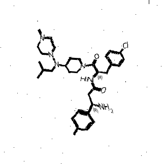 Cc1ccc([C@H](N)CC(=O)N[C@H](Cc2ccc(Cl)cc2)C(=O)N2CCC(N(CC(C)C)N3CCN(C)CC3)CC2)cc1